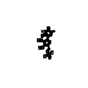 Cc1cn([C@@H]2O[C@H](COP(=O)(Cl)Cl)C(O)[C@@H]2O)c(=S)[nH]c1=O